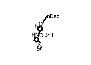 Br.CCCCCCCCCCCCCCOc1ccc(C(=O)Nc2cccc(CN3C=CSC3)c2)cc1F